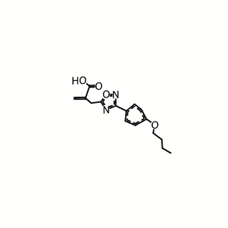 C=C(Cc1nc(-c2ccc(OCCCC)cc2)no1)C(=O)O